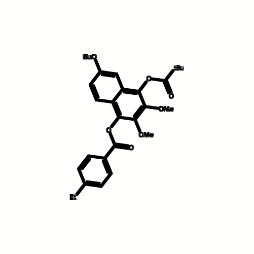 CCc1ccc(C(=O)Oc2c(OC)c(OC)c(OC(=O)C(C)(C)C)c3cc(OCC(C)C)ccc23)cc1